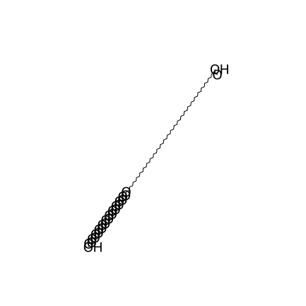 O=C(O)CCCCCCCCCCCCCCCCCCCCCCCCCCCCCCCCCCCCCCCCCCCCCCCCCCOOOOOOOOOOOOOOOOOOOOOOOO